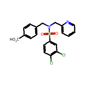 O=C(O)c1ccc(CN(Cc2ccccn2)S(=O)(=O)c2ccc(Cl)c(Cl)c2)cc1